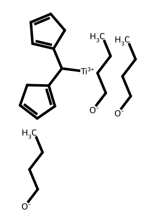 CCCC[O-].CCCC[O-].CCCC[O-].[Ti+3][CH](C1=CC=CC1)C1=CC=CC1